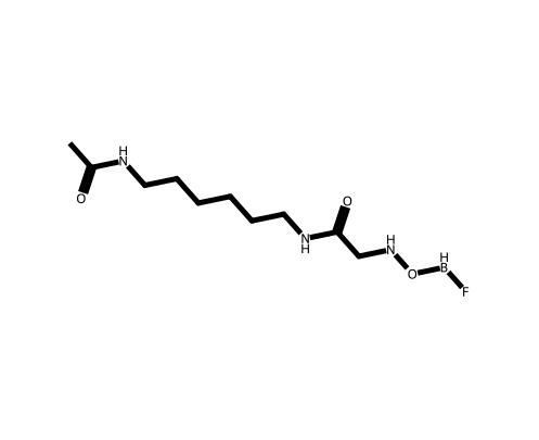 CC(=O)NCCCCCCNC(=O)CNOBF